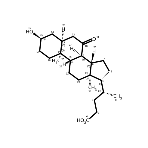 C[C@H](CCC(=O)O)[C@H]1CC[C@H]2[C@@H]3C(=O)C[C@@H]4C[C@H](O)CC[C@]4(C)[C@H]3CC[C@]12C